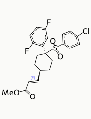 COC(=O)/C=C/[C@H]1CC[C@@](c2cc(F)ccc2F)(S(=O)(=O)c2ccc(Cl)cc2)CC1